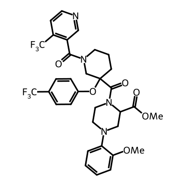 COC(=O)C1CN(c2ccccc2OC)CCN1C(=O)C1(Oc2ccc(C(F)(F)F)cc2)CCCN(C(=O)c2cnccc2C(F)(F)F)C1